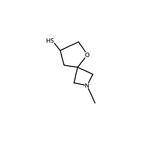 CN1CC2(CC(S)CO2)C1